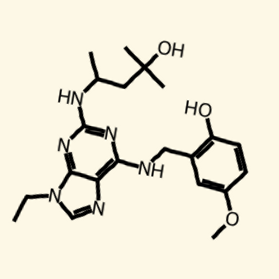 CCn1cnc2c(NCc3cc(OC)ccc3O)nc(NC(C)CC(C)(C)O)nc21